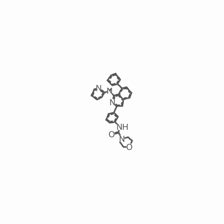 CN(c1ccccn1)c1nc(-c2cccc(NC(=O)N3CCOCC3)c2)cc2cccc(-c3ccccc3)c12